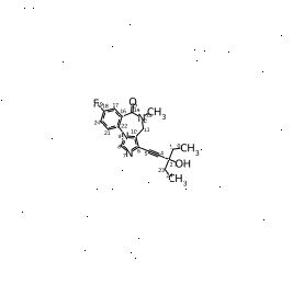 CCC(O)(C#Cc1ncn2c1CN(C)C(=O)c1cc(F)ccc1-2)CC